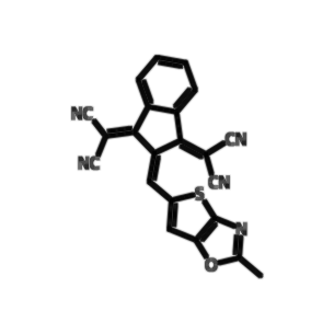 Cc1nc2sc(C=C3C(=C(C#N)C#N)c4ccccc4C3=C(C#N)C#N)cc2o1